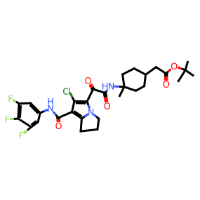 CC1(NC(=O)C(=O)c2c(Cl)c(C(=O)Nc3cc(F)c(F)c(F)c3)c3n2CCC3)CCC(CC(=O)OC(C)(C)C)CC1